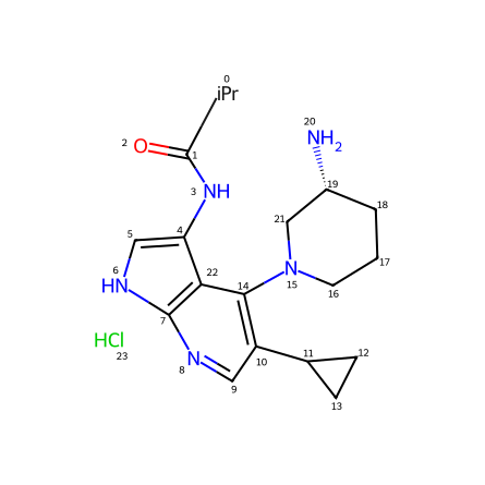 CC(C)C(=O)Nc1c[nH]c2ncc(C3CC3)c(N3CCC[C@@H](N)C3)c12.Cl